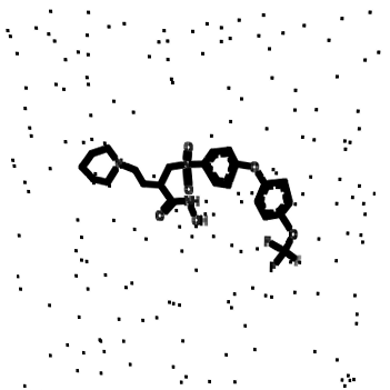 O=C(NO)C(CCN1CCCCC1)CS(=O)(=O)c1ccc(Oc2ccc(OC(F)(F)F)cc2)cc1